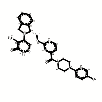 N#Cc1ccc(N2CCN(C(=O)c3ccnc(OC[C@H]4c5ccccc5CN4c4cn[nH]c(=O)c4C(F)(F)F)n3)CC2)nc1